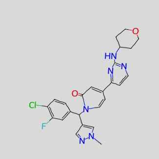 Cn1cc(C(c2ccc(Cl)c(F)c2)n2ccc(-c3ccnc(NC4CCOCC4)n3)cc2=O)cn1